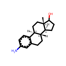 C[C@]12CC[C@@H]3c4ccc(N)cc4CC[C@H]3[C@@H]1CCC2O